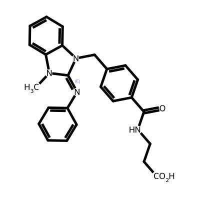 Cn1/c(=N\c2ccccc2)n(Cc2ccc(C(=O)NCCC(=O)O)cc2)c2ccccc21